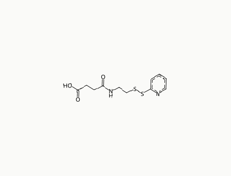 O=C(O)CCC(=O)NCCSSc1ccccn1